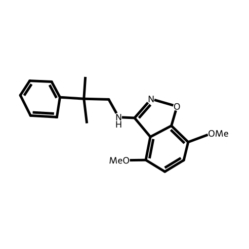 COc1ccc(OC)c2c(NCC(C)(C)c3ccccc3)noc12